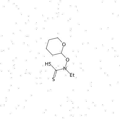 CCN(OC1CCCCO1)C(=S)S